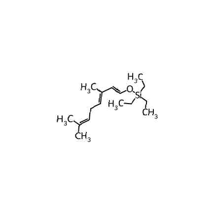 CC[Si](CC)(CC)OC=CC(C)=CCC=C(C)C